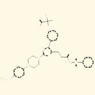 COc1ccc(N2CCN(c3nc(-c4ccccc4)c(CCC(=O)NS(=O)(=O)c4ccccc4)s3)CC2)cc1.O=C(O)C(F)(F)F